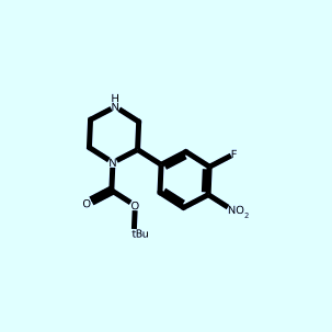 CC(C)(C)OC(=O)N1CCNCC1c1ccc([N+](=O)[O-])c(F)c1